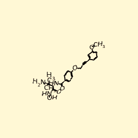 COc1cccc(C#CCOc2ccc(C(=O)N[C@H](C(=O)NO)C(C)(C)N)cc2)c1